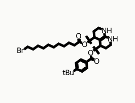 CC(C)(C)c1ccc(C(=O)OC(C)(C)C2CCNC3=C2C(C(C)(C)OC(=O)CCCCCCCCCCBr)CCN3)cc1